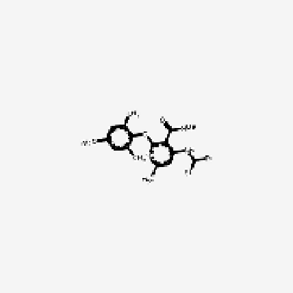 CCC(CC)Nc1cc(C)nc(Oc2c(C)cc(OC)cc2C)c1C(=O)NC